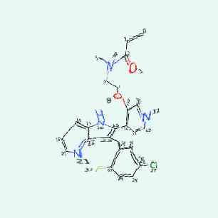 C=CC(=O)N(C)CCOc1cnccc1-c1[nH]c2cccnc2c1-c1cc(Cl)ccc1F